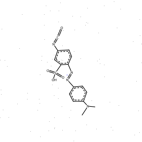 CN(C)c1ccc(/N=N/c2ccc(N=C=O)cc2S(=O)(=O)O)cc1